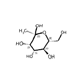 C[C@]1(O)O[C@H](CO)[C@@H](O)[C@H](O)[C@@H]1O